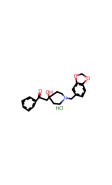 Cl.O=C(CC1(O)CCN(Cc2ccc3c(c2)OCO3)CC1)c1ccccc1